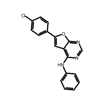 Clc1ccc(-c2cc3c(Nc4ccccc4)ncnc3o2)cc1